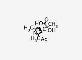 CC(C)(O)C(=O)O.Cc1cccc(C)n1.[Ag]